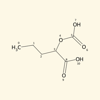 CCCC(OC(=O)O)C(=O)O